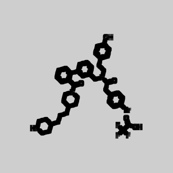 O=C(Cc1ccc(Br)cc1)N(CCc1ccc(O)cc1)Cc1cccc(-c2ccccc2C(=O)N2CCC(CCCC3CCNCC3)CC2)c1.O=C(O)C(F)(F)F